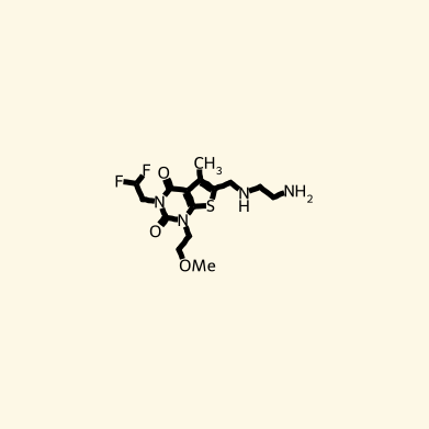 COCCn1c(=O)n(CC(F)F)c(=O)c2c(C)c(CNCCN)sc21